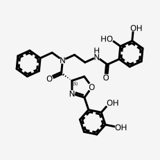 O=C(NCCN(Cc1ccccc1)C(=O)[C@@H]1COC(c2cccc(O)c2O)=N1)c1cccc(O)c1O